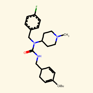 CC(C)COC1=CCC(CNC(=O)N(Cc2ccc(F)cc2)C2CCN(C)CC2)C=C1